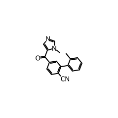 Cc1ccccc1-c1cc(C(=O)c2cncn2C)ccc1C#N